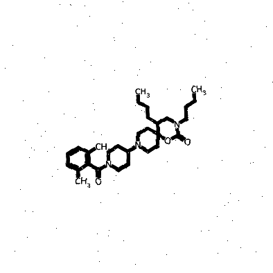 CCCCC1CN(CCCC)C(=O)OC12CCN(C1CCN(C(=O)c3c(C)cccc3C)CC1)CC2